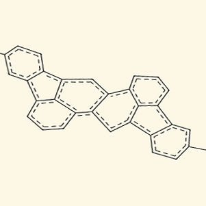 Clc1ccc2c(c1)c1cccc3c4cc5c6ccc(Cl)cc6c6cccc(c4cc2c13)c65